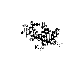 CCCC[C@H](NC(=O)[C@H](CC(C)C)NC(=O)[C@@H](NC(=O)[C@H](Cc1ccccc1C)NC(=O)[C@H](CCC(=O)O)NC(=O)[C@H](CC(=O)O)NC(=O)C1CCN(C(C)=O)CC1)C(C)(C)C)C(=O)C(N)=O